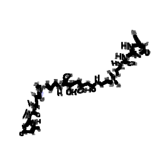 Cc1cc(=O)nc(NC(=O)NCC/C=[N+](\C)CCCNC(=O)[C@@H](O)C[C@H](O)CC(=O)NCCC[N+](C)(C)CCCNC(=O)Nc2nc(=O)cc(C)[nH]2)[nH]1